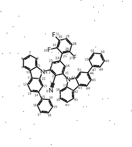 N#Cc1c(-n2c3ccccc3c3ccc(-c4ccccc4)cc32)cc(-c2c(F)ccc(F)c2F)cc1-n1c2ccccc2c2ccc(-c3ccccc3)cc21